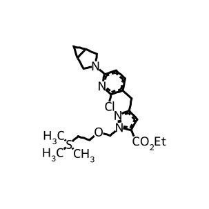 CCOC(=O)c1cc(Cc2ccc(N3CC4CC4C3)nc2Cl)nn1COCCS(C)(C)C